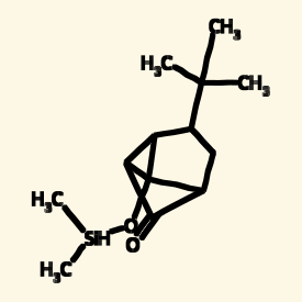 C[SiH](C)OC12C3CC(C(C)(C)C)C1C2C3=O